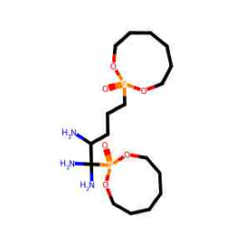 NC(CCCP1(=O)OCCCCCCO1)C(N)(N)P1(=O)OCCCCCCO1